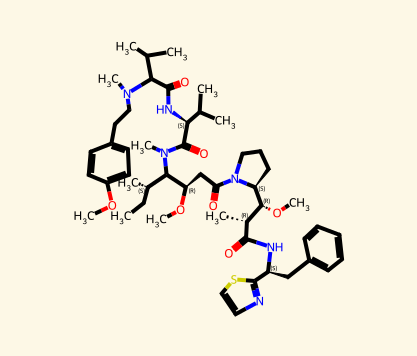 CC[C@H](C)C([C@@H](CC(=O)N1CCC[C@H]1[C@H](OC)[C@@H](C)C(=O)N[C@@H](Cc1ccccc1)c1nccs1)OC)N(C)C(=O)[C@@H](NC(=O)C(C(C)C)N(C)CCc1ccc(OC)cc1)C(C)C